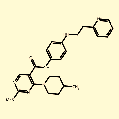 CSc1ncc(C(=O)Nc2ccc(NCCc3ccccn3)cc2)c(N2CCC(C)CC2)n1